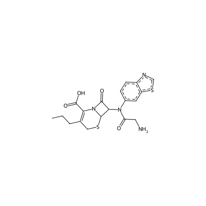 CCCC1=C(C(=O)O)N2C(=O)C(N(C(=O)CN)c3ccc4ncsc4c3)C2SC1